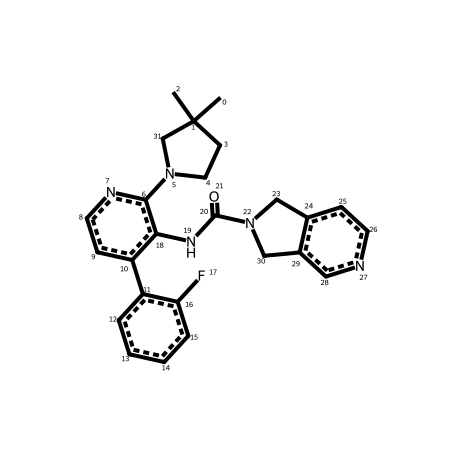 CC1(C)CCN(c2nccc(-c3ccccc3F)c2NC(=O)N2Cc3ccncc3C2)C1